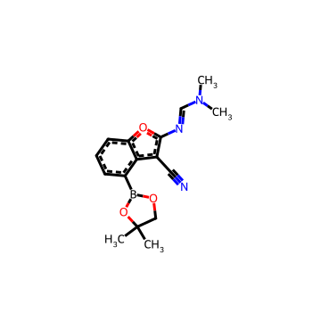 CN(C)C=Nc1oc2cccc(B3OCC(C)(C)O3)c2c1C#N